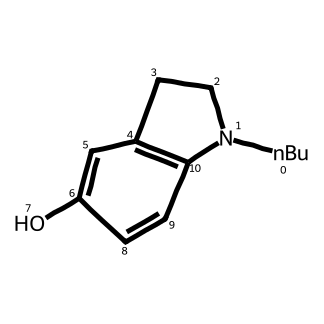 CCCCN1CCc2cc(O)ccc21